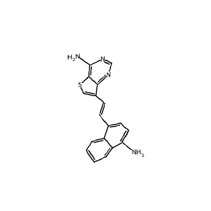 Nc1ccc(C=Cc2csc3c(N)ncnc23)c2ccccc12